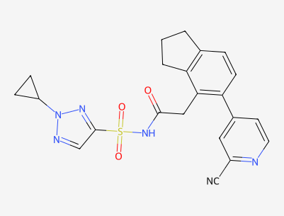 N#Cc1cc(-c2ccc3c(c2CC(=O)NS(=O)(=O)c2cnn(C4CC4)n2)CCC3)ccn1